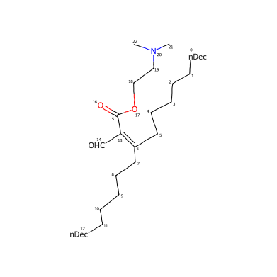 CCCCCCCCCCCCCCCC(CCCCCCCCCCCCCCC)=C(C=O)C(=O)OCCN(C)C